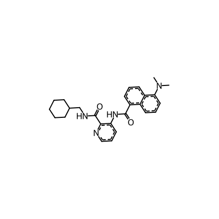 CN(C)c1cccc2c(C(=O)Nc3cccnc3C(=O)NCC3CCCCC3)cccc12